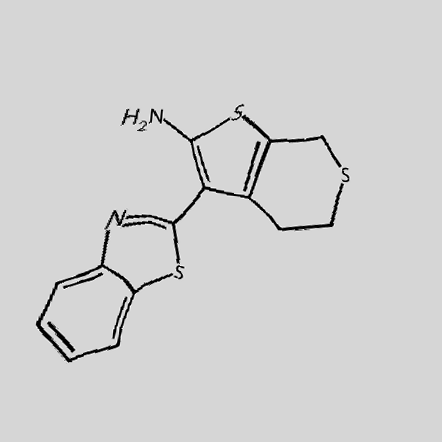 Nc1sc2c(c1-c1nc3ccccc3s1)CCSC2